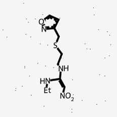 CCNC(=C[N+](=O)[O-])NCCSCc1ccon1